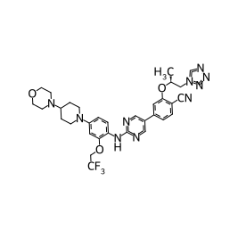 C[C@@H](Cn1cnnn1)Oc1cc(-c2cnc(Nc3ccc(N4CCC(N5CCOCC5)CC4)cc3OCC(F)(F)F)nc2)ccc1C#N